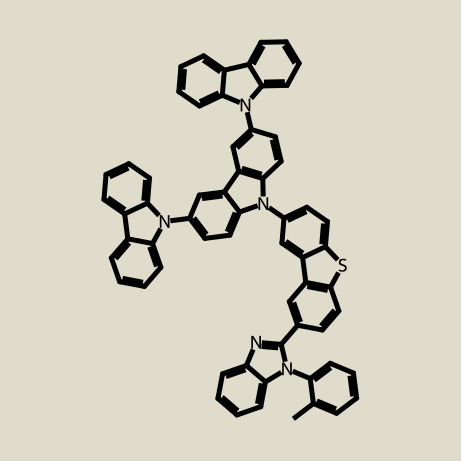 Cc1ccccc1-n1c(-c2ccc3sc4ccc(-n5c6ccc(-n7c8ccccc8c8ccccc87)cc6c6cc(-n7c8ccccc8c8ccccc87)ccc65)cc4c3c2)nc2ccccc21